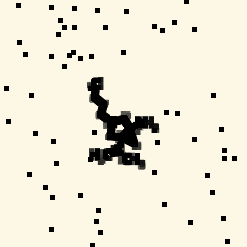 CN(C)[C@@]12CN(CCCCl)C[C@]1(N)C2